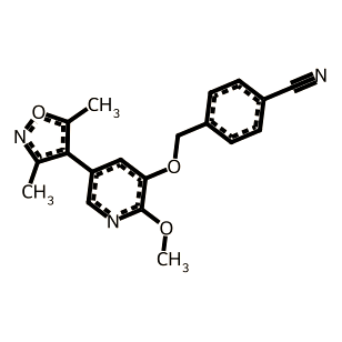 COc1ncc(-c2c(C)noc2C)cc1OCc1ccc(C#N)cc1